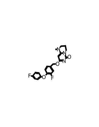 CN1CCCn2c1cc(OCc1ccc(Oc3ccc(F)cc3)c(F)c1)nc2=O